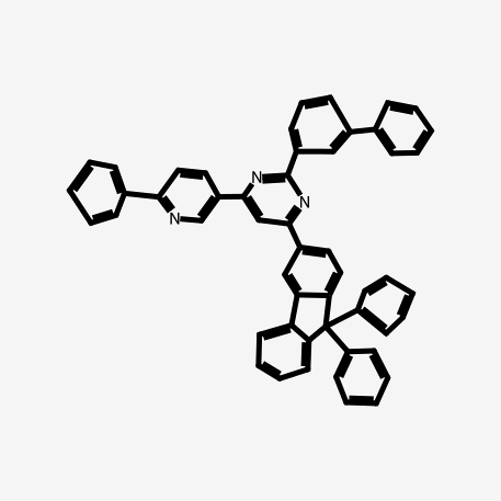 c1ccc(-c2cccc(-c3nc(-c4ccc(-c5ccccc5)nc4)cc(-c4ccc5c(c4)-c4ccccc4C5(c4ccccc4)c4ccccc4)n3)c2)cc1